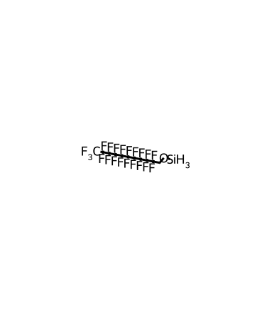 FC(F)(F)C(F)(F)C(F)(F)C(F)(F)C(F)(F)C(F)(F)C(F)(F)C(F)(F)C(F)(F)C(F)(F)CO[SiH3]